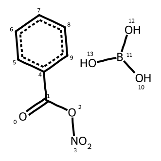 O=C(O[N+](=O)[O-])c1ccccc1.OB(O)O